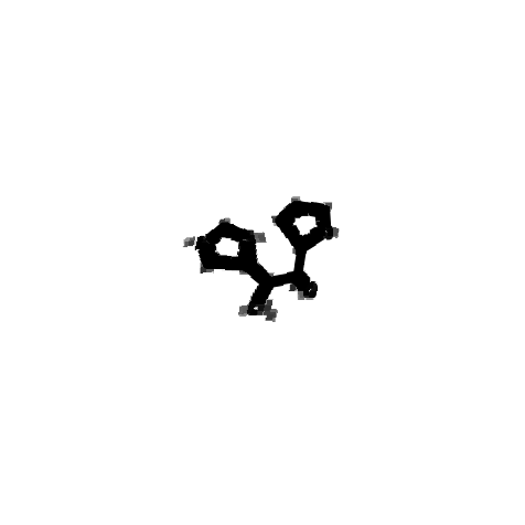 C=C(C(=O)c1ccco1)c1cncs1